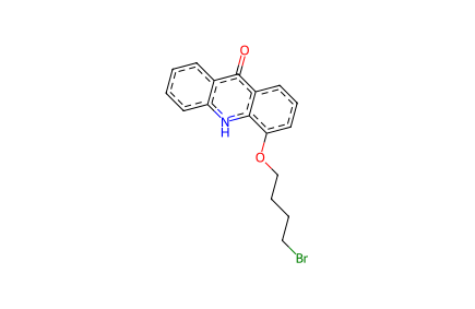 O=c1c2ccccc2[nH]c2c(OCCCCBr)cccc12